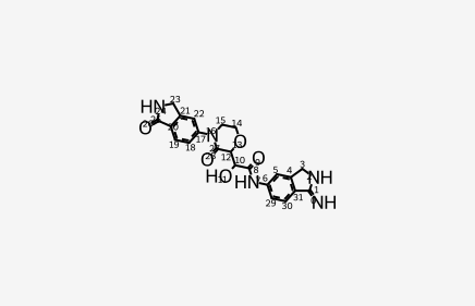 N=C1NCc2cc(NC(=O)C(O)C3OCCN(c4ccc5c(c4)CNC5=O)C3=O)ccc21